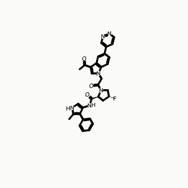 CC(=O)c1cn(CC(=O)N2C[C@H](F)C[C@H]2C(=O)Nc2c[nH]c(C)c2-c2ccccc2)c2ccc(-c3ccnnc3)cc12